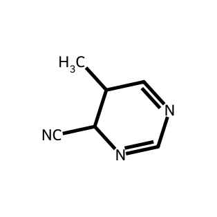 CC1C=NC=NC1C#N